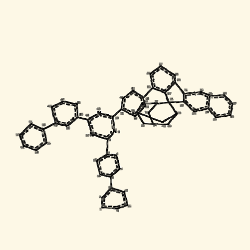 c1ccc(-c2ccc(-c3nc(-c4ccc(-c5cccc6c5C5(c7cc8ccccc8cc7-6)C6CC7CC(C6)CC5C7)cc4)nc(-c4cccc(-c5ccccc5)c4)n3)cc2)cc1